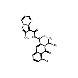 Cc1nn2cccnc2c1C(=O)N[C@@H](C)c1cc2cccc(Cl)c2c(=O)n1C(C)C